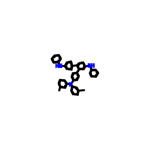 Cc1cccc(N(c2ccc(-c3cc(Nc4ccccc4)ccc3-c3ccc(Nc4ccccc4)cc3)cc2)c2cccc(C)c2)c1